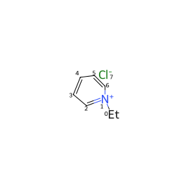 CC[n+]1ccccc1.[Cl-]